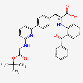 CC(C)(C)OC(=O)CNc1cccc(-c2ccc(C[C@H](Nc3ccccc3C(=O)c3ccccc3)C(=O)O)cc2)n1